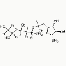 B[C@@H]1O[C@H](CC(C)(CC)OP(B)(=O)C(C)(CC)C(C)(CC)OP(=O)(O)C(O)(CC)CC)[C@@H](O)[C@H]1O